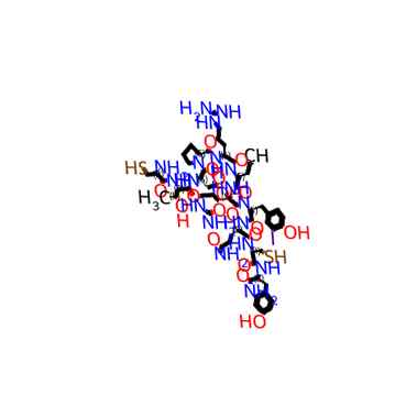 C#CC[C@H](NC(=O)[C@H](CCCNC(=N)N)NC(=O)[C@@H]1CCCN1C(=O)[C@H](CC(=O)O)NC(=O)[C@@H](NC(=O)[C@@H](N)CS)[C@@H](C)O)C(=O)N[C@@H](CCCNC(N)=O)C(=O)N[C@@H](Cc1ccc(O)c(I)c1)C(=O)N[C@@H](CCC(N)=O)C(=O)N[C@@H](CS)C(=O)N[C@@H](Cc1ccc(O)cc1)C(N)=O